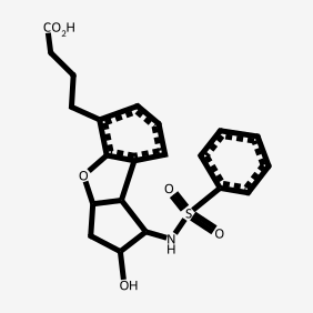 O=C(O)CCCc1cccc2c1OC1CC(O)C(NS(=O)(=O)c3ccccc3)C21